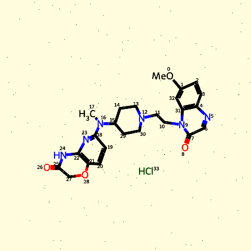 COc1ccc2ncc(=O)n(CCN3CCC(N(C)c4ccc5c(n4)NC(=O)CO5)CC3)c2c1.Cl